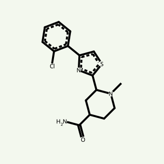 CN1CCC(C(N)=O)CC1c1nc(-c2ccccc2Cl)cs1